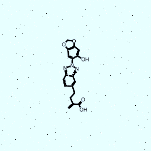 C=C(CCc1ccc2nn(-c3cc4c(cc3O)OCO4)nc2c1)C(=O)O